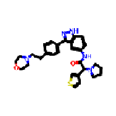 O=C(Nc1ccc2[nH]nc(-c3ccc(CCN4CCOCC4)cc3)c2c1)C(c1ccsc1)N1CCCC1